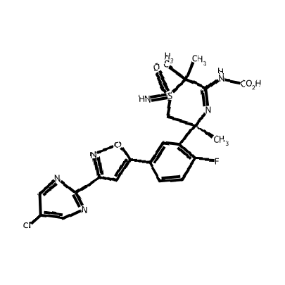 CC1(C)C(NC(=O)O)=N[C@](C)(c2cc(-c3cc(-c4ncc(Cl)cn4)no3)ccc2F)CS1(=N)=O